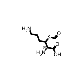 NCCCC(SC=O)[C@H](N)C(=O)O